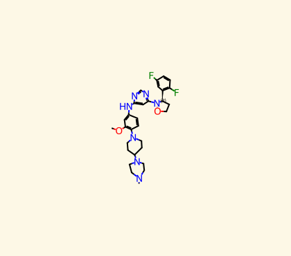 COc1cc(Nc2cc(N3OCC[C@@H]3c3cc(F)ccc3F)ncn2)ccc1N1CCC(N2CCN(C)CC2)CC1